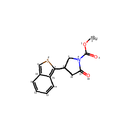 CC(C)(C)OC(=O)N1CC(c2scc3ccccc23)CC1=O